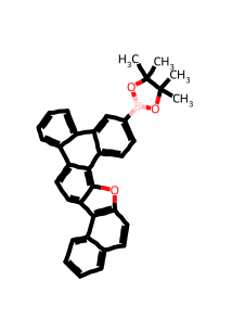 CC1(C)OB(c2ccc3c(c2)c2ccccc2c2ccc4c(oc5ccc6ccccc6c54)c23)OC1(C)C